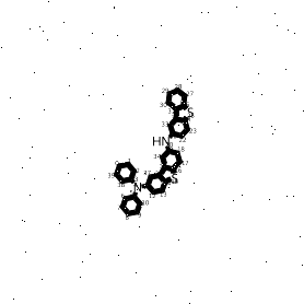 c1ccc(N(c2ccccc2)c2ccc3sc4ccc(Nc5ccc6sc7ccccc7c6c5)cc4c3c2)cc1